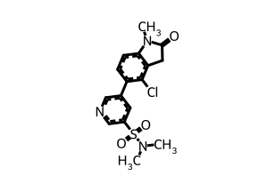 CN1C(=O)Cc2c1ccc(-c1cncc(S(=O)(=O)N(C)C)c1)c2Cl